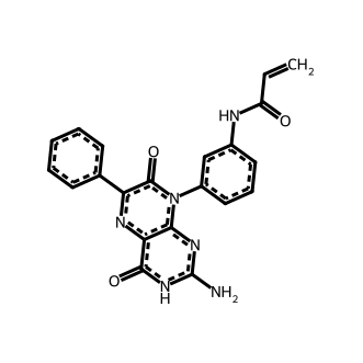 C=CC(=O)Nc1cccc(-n2c(=O)c(-c3ccccc3)nc3c(=O)[nH]c(N)nc32)c1